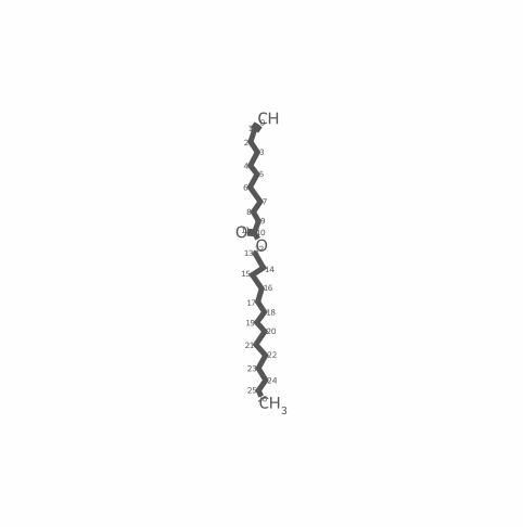 C#CCCCCCCCCC(=O)OCCCCCCCCCCCCCC